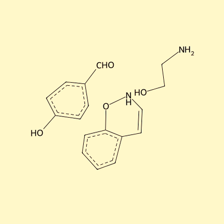 C1=Cc2ccccc2ON1.NCCO.O=Cc1ccc(O)cc1